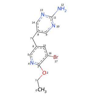 CCOc1ncc(Cc2cnc(N)nc2)cc1Br